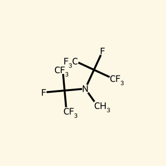 CN(C(F)(C(F)(F)F)C(F)(F)F)C(F)(C(F)(F)F)C(F)(F)F